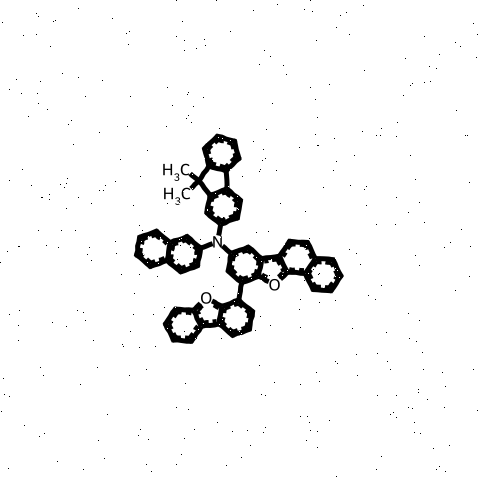 CC1(C)c2ccccc2-c2ccc(N(c3ccc4ccccc4c3)c3cc(-c4cccc5c4oc4ccccc45)c4oc5c6ccccc6ccc5c4c3)cc21